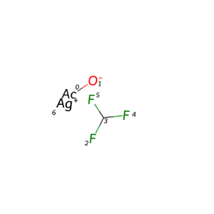 CC(=O)[O-].FC(F)F.[Ag+]